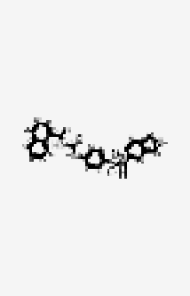 CC(NC(=O)Nc1ccc(S(=O)(=O)Nc2ccc3c(c2)CNC3)cc1)c1cccc2ccccc12